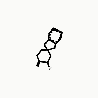 O=C1CCC2(Cc3ccccc3C2)CC1Br